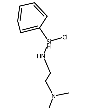 CN(C)CCN[SiH](Cl)c1ccccc1